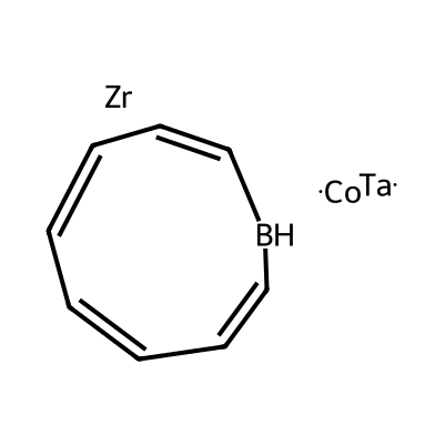 B1C=CC=CC=CC=C1.[Co].[Ta].[Zr]